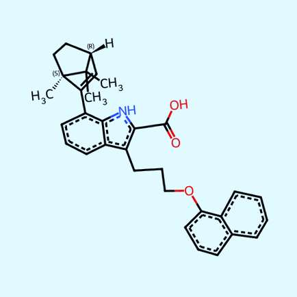 CC1(C)[C@H]2C=C(c3cccc4c(CCCOc5cccc6ccccc56)c(C(=O)O)[nH]c34)[C@@]1(C)CC2